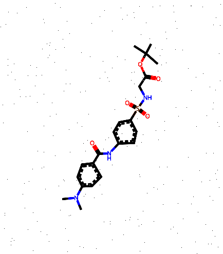 CN(C)c1ccc(C(=O)Nc2ccc(S(=O)(=O)NCC(=O)OC(C)(C)C)cc2)cc1